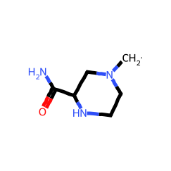 [CH2]N1CCNC(C(N)=O)C1